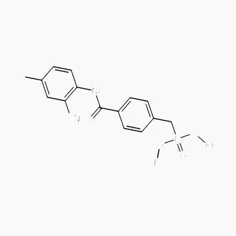 CCOP(=O)(Cc1ccc(C(=O)Nc2ccc(I)cc2C#N)cc1)OCC